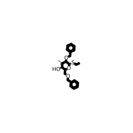 CCS[C@@H]1OC(COCc2ccccc2)[C@H](O)[C@H](C)C1OCc1ccccc1